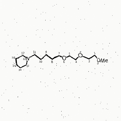 COCCOCCOCCCCCN1CCCCC1